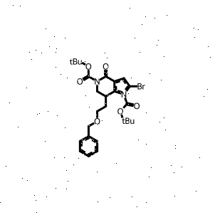 CC(C)(C)OC(=O)N1CC(CCOCc2ccccc2)c2c(cc(Br)n2C(=O)OC(C)(C)C)C1=O